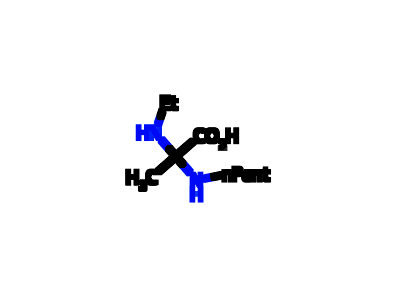 CCCCCNC(C)(NCC)C(=O)O